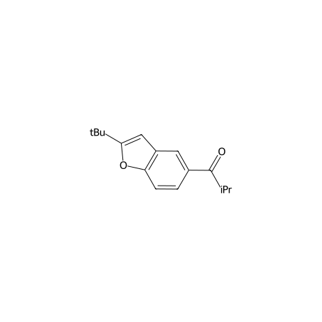 CC(C)C(=O)c1ccc2oc(C(C)(C)C)cc2c1